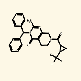 Nc1nc2c(c(=O)n1C(c1ccccc1)c1ccccc1)CCN(C(=O)C1CC1C(F)(F)F)C2